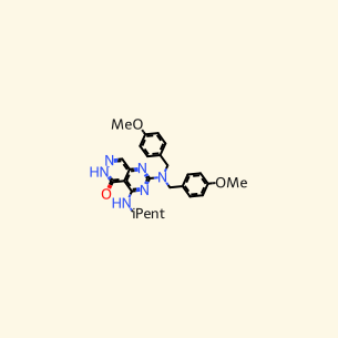 CCCC(C)Nc1nc(N(Cc2ccc(OC)cc2)Cc2ccc(OC)cc2)nc2cn[nH]c(=O)c12